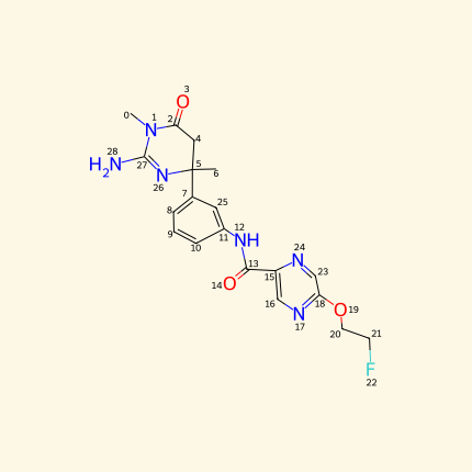 CN1C(=O)CC(C)(c2cccc(NC(=O)c3cnc(OCCF)cn3)c2)N=C1N